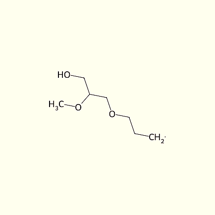 [CH2]CCOCC(CO)OC